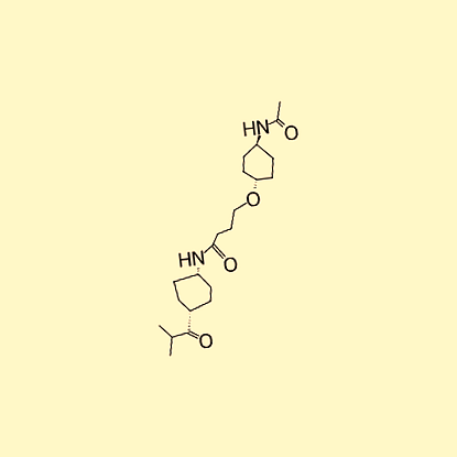 CC(=O)N[C@H]1CC[C@H](OCCCC(=O)N[C@H]2CC[C@@H](C(=O)C(C)C)CC2)CC1